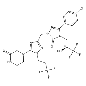 O=C1CN(c2nc(Cn3nc(-c4ccc(Cl)cc4)n(C[C@H](O)C(F)(F)F)c3=O)nn2CCC(F)(F)F)CCN1